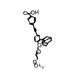 COCCOCOc1ccc(C#Cc2ccc(C(=O)O)cc2)cc1C12CC3CC(CC(C3)C1)C2